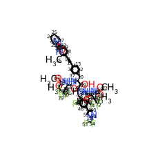 COC(=O)NC(C(=O)N[C@@H](Cc1ccc(C#Cc2ccc(N3CC4CCC(C3)N4C3COC3)nc2C)cc1)[C@@H](O)CN(Cc1c(F)cc(-c2cnn(C(F)F)c2)cc1F)NC(=O)[C@@H](NC(=O)OC)C(C)(C)C(F)(F)F)C(C)(C)C(F)(F)F